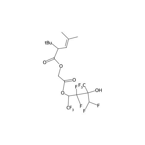 CC(C)=CC(C(=O)OCC(=O)OC(C(F)(F)F)C(F)(F)C(O)(C(F)F)C(F)(F)F)C(C)(C)C